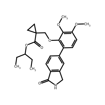 CCC(CC)OC(=O)C1(COc2c(-c3ccc4c(c3)CNC4=O)ccc(OC)c2OC)CC1